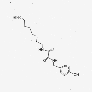 CCCCCCCCCCCCCCCCCNC(=O)C(=O)NCc1ccc(O)cc1